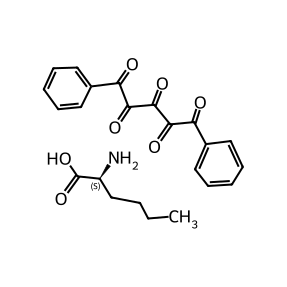 CCCC[C@H](N)C(=O)O.O=C(C(=O)C(=O)c1ccccc1)C(=O)C(=O)c1ccccc1